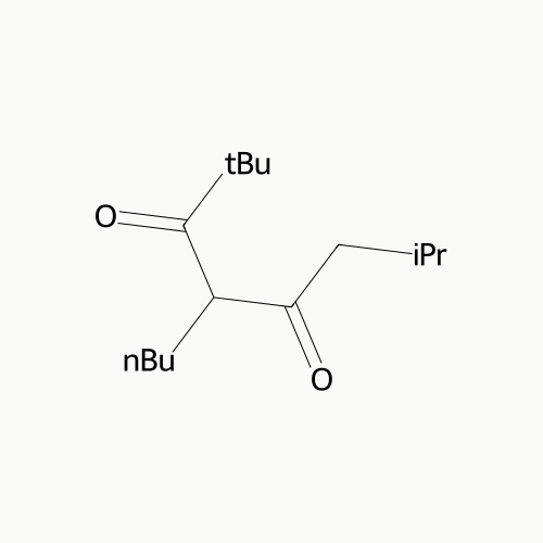 CCCCC(C(=O)CC(C)C)C(=O)C(C)(C)C